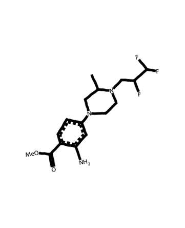 COC(=O)c1ccc(N2CCN(CC(F)C(F)F)C(C)C2)cc1N